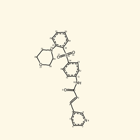 O=C(/C=C/c1cccnc1)Nc1ccc(S(=O)(=O)c2ccccc2N2CCOCC2)cc1